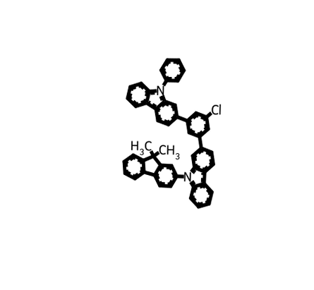 CC1(C)c2ccccc2-c2ccc(-n3c4ccccc4c4ccc(-c5cc(Cl)cc(-c6ccc7c8ccccc8n(-c8ccccc8)c7c6)c5)cc43)cc21